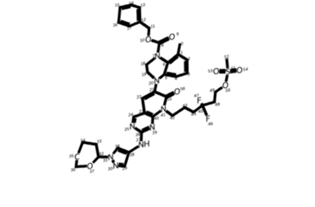 Cc1cccc2c1N(C(=O)OCc1ccccc1)CCN2c1cc2cnc(Nc3cnn(C4CCCCO4)c3)nc2n(CCCC(F)(F)CCOS(C)(=O)=O)c1=O